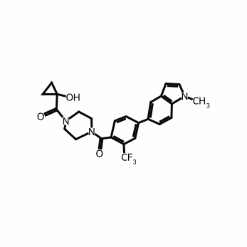 Cn1ccc2cc(-c3ccc(C(=O)N4CCN(C(=O)C5(O)CC5)CC4)c(C(F)(F)F)c3)ccc21